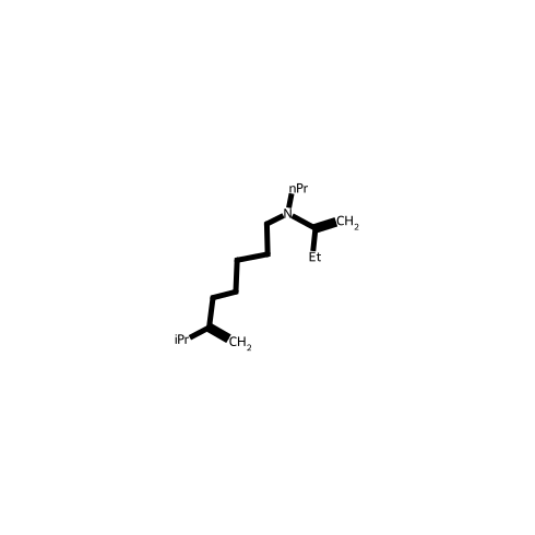 C=C(CCCCCN(CCC)C(=C)CC)C(C)C